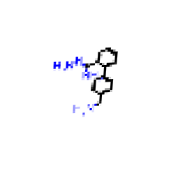 NCc1ccc(-c2ccccc2/C(N)=N/N)cc1